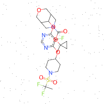 CC1(OC(=O)N2CC3COCC(C2)C3Oc2ncnc(OC3CCN(S(=O)(=O)C(C)(F)F)CC3)c2F)CC1